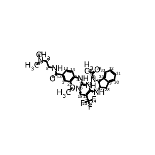 COc1cc(C(=O)NCCN(C)C)ccc1Nc1ncc(C(F)(F)F)c(N[C@@H]2Cc3ccccc3[C@H]2NC(C)=O)n1